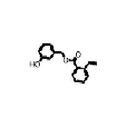 C=Cc1ccccc1C(=O)OCc1cccc(O)c1